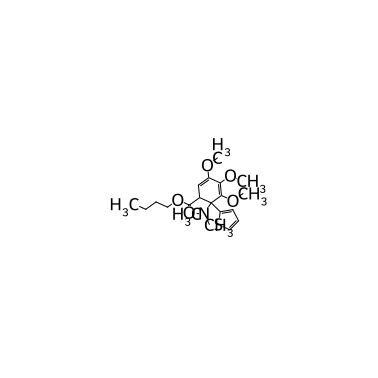 CCCCOC(=O)C1C=C(OC)C(OC)=C(OC)C1(c1cccs1)N(C)C